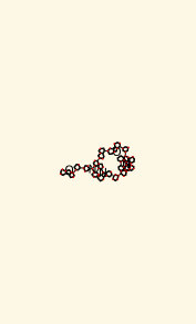 c1ccc(-c2ccc(-c3ccccc3N(c3ccc(-c4cccc(-c5cccc6c5oc5ccc(-c7cccc8cc(-c9ccc(N(c%10ccc(-c%11cccc(-c%12cccc%13c%12oc%12ccccc%12%13)c%11)cc%10)c%10ccccc%10-c%10ccccc%10-n%10c%11ccccc%11c%11ccccc%11%10)cc9)ccc78)cc56)c4)cc3)c3ccccc3-c3ccccc3-n3c4ccccc4c4ccccc43)cc2)cc1